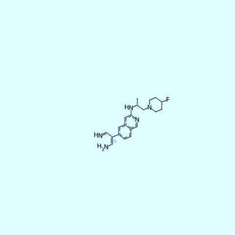 CC(CN1CCC(F)CC1)Nc1cc2cc(/C(C=N)=C/N)ccc2cn1